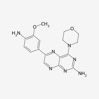 COc1cc(-c2cnc3nc(N)nc(N4CCOCC4)c3n2)ccc1N